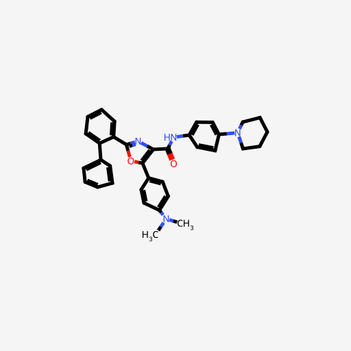 CN(C)c1ccc(-c2oc(-c3ccccc3-c3ccccc3)nc2C(=O)Nc2ccc(N3CCCCC3)cc2)cc1